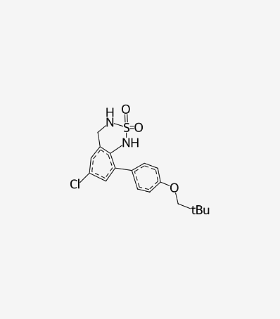 CC(C)(C)COc1ccc(-c2cc(Cl)cc3c2NS(=O)(=O)NC3)cc1